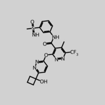 Cc1c(C(F)(F)F)nnc(Oc2ccc(C3(O)CCC3)nn2)c1C(=O)Nc1cccc(S(C)(=N)=O)c1